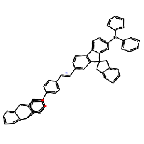 C(=C\c1ccc2c(c1)C1(Cc3ccccc3C1)c1cc(N(c3ccccc3)c3ccccc3)ccc1-2)/c1ccc(-c2ccc3c(c2)C2c4ccccc4C3c3ccccc32)cc1